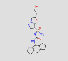 NS(=O)(=NC(=O)Nc1c2c(cc3c1CCC3)CCC2)c1cnn2c1O[C@@H](CCO)C2